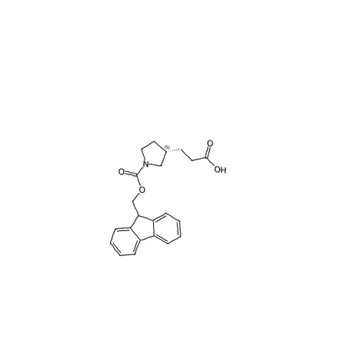 O=C(O)CC[C@H]1CCN(C(=O)OCC2c3ccccc3-c3ccccc32)C1